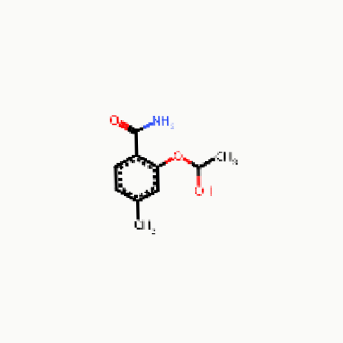 Cc1ccc(C(N)=O)c(OC(C)O)c1